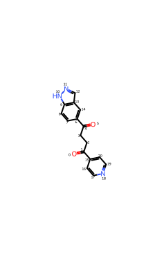 O=C(CCC(=O)c1ccc2[nH]ncc2c1)c1ccncc1